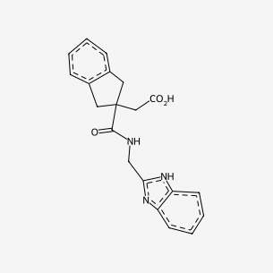 O=C(O)CC1(C(=O)NCc2nc3ccccc3[nH]2)Cc2ccccc2C1